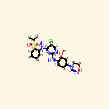 COc1cc(N2C=NOCC2)ccc1Nc1ncc(Cl)c(Nc2ccccc2S(=O)(=O)C(C)C)n1